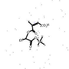 CCC(OC(=O)/C(C)=C\C(=O)O)C(=O)O[Si](C)(C)C